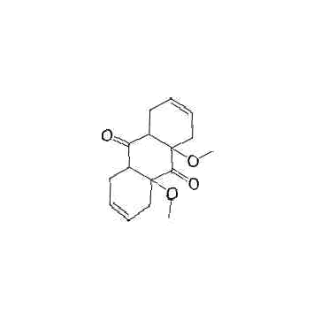 COC12CC=CCC1C(=O)C1CC=CCC1(OC)C2=O